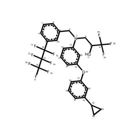 OC(CN(Cc1cccc(C(F)(F)C(F)(F)C(F)(F)F)c1)c1cccc(Oc2cccc(C3CC3)c2)c1)C(F)(F)F